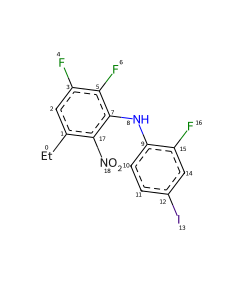 CCc1cc(F)c(F)c(Nc2ccc(I)cc2F)c1[N+](=O)[O-]